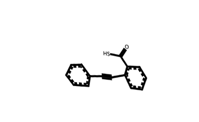 O=C(S)c1ccccc1C#Cc1[c]cccc1